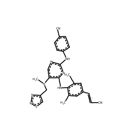 Cc1cc(/C=C/C#N)cc(C)c1Nc1nc(Nc2ccc(C#N)cc2)ncc1N(C)Cc1csnn1